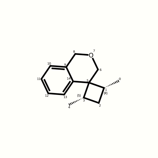 C[C@@H]1C[C@H](C)C12COCc1ccccc12